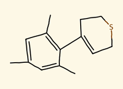 Cc1cc(C)c(C2=CCSCC2)c(C)c1